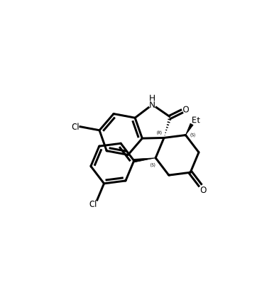 CC[C@H]1CC(=O)C[C@@H](c2cccc(Cl)c2)[C@]12C(=O)Nc1cc(Cl)ccc12